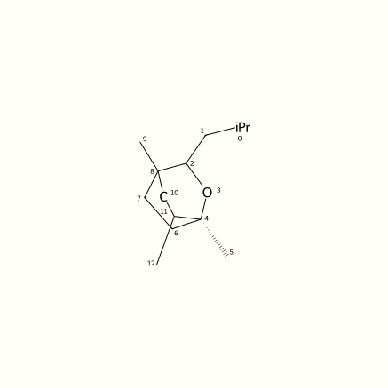 CC(C)CC1O[C@@]2(C)CCC1(C)CC2C